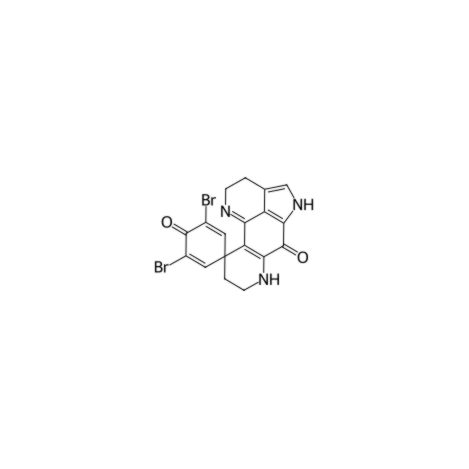 O=C1C(Br)=CC2(C=C1Br)CCNC1=C2C2=NCCc3c[nH]c(c32)C1=O